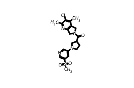 Cc1nc2c(c(C)c1Cl)CN(C(=O)C1CCN(c3cncc(S(C)(=O)=O)c3)C1)C2